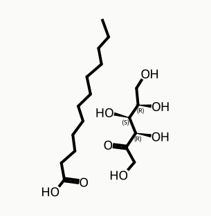 CCCCCCCCCCCC(=O)O.O=C(CO)[C@H](O)[C@@H](O)[C@H](O)CO